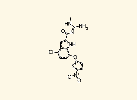 CNC(N)=NC(=O)c1cc2c(Cl)ccc(Oc3ccc([N+](=O)[O-])s3)c2[nH]1